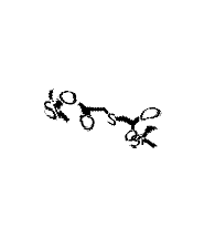 C[Si](C)(C)OC(=O)CSCC(=O)O[Si](C)(C)C